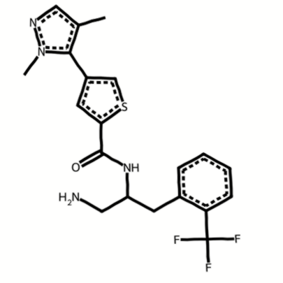 Cc1cnn(C)c1-c1csc(C(=O)NC(CN)Cc2ccccc2C(F)(F)F)c1